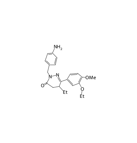 CCOc1cc(C2=NN(Cc3ccc(N)cc3)C(=O)CC2CC)ccc1OC